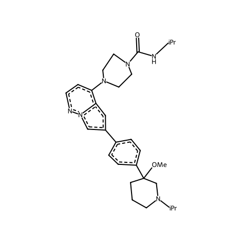 COC1(c2ccc(-c3cc4c(N5CCN(C(=O)NC(C)C)CC5)ccnn4c3)cc2)CCCN(C(C)C)C1